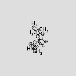 CCC(C)(C)C(=O)OC1C2CCC(O2)C1OS(=O)(=O)NC